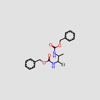 CCC(NC(=O)OCc1ccccc1)C(C)NC(=O)OCc1ccccc1